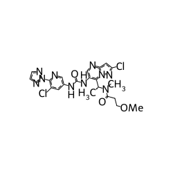 COCCC(=O)N(C)[C@@H](C)c1c(NC(=O)Nc2cnc(-n3nccn3)c(Cl)c2)cnc2cc(Cl)nn12